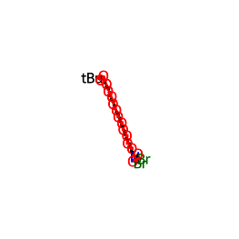 CC(C)(C)OC(=O)CCOCCOCCOCCOCCOCCOCCOCCOCCOCCOCCOCCCN1C(=O)C(Br)=C(Br)C1=O